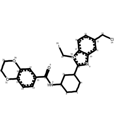 O=C(NC1CCCC(c2nc3cc(CCl)ccc3n2CI)C1)c1ccc2c(c1)OCCO2